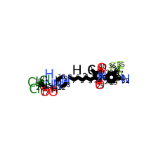 CC1=C(CCCCCCN2CCN(C(=O)NC(=O)C(Cl)(Cl)Cl)CC2)C(=O)N(c2ccc(C#N)c(C(F)(F)F)c2)C1=O